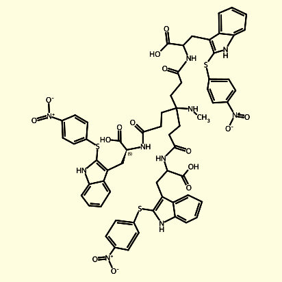 CNC(CCC(=O)NC(Cc1c(Sc2ccc([N+](=O)[O-])cc2)[nH]c2ccccc12)C(=O)O)(CCC(=O)NC(Cc1c(Sc2ccc([N+](=O)[O-])cc2)[nH]c2ccccc12)C(=O)O)CCC(=O)N[C@@H](Cc1c(Sc2ccc([N+](=O)[O-])cc2)[nH]c2ccccc12)C(=O)O